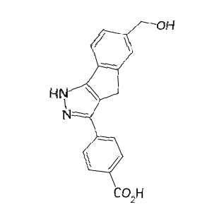 O=C(O)c1ccc(-c2n[nH]c3c2Cc2cc(CO)ccc2-3)cc1